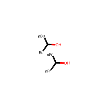 CCCC(O)CCC.CCCCC(O)CC